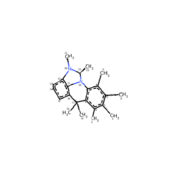 Cc1c(C)c(C)c2c(c1C)N1c3c(cccc3C2(C)C)N(C)[C@H]1C